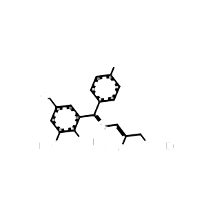 CCOC(=O)C/C(C)=C/N=C(\c1ccc(Cl)cc1)c1cc(Cl)cc(C)c1O